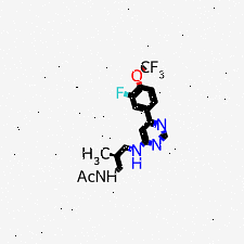 CC(=O)NC[C@@H](C)CNc1cc(-c2ccc(OC(F)(F)F)c(F)c2)ncn1